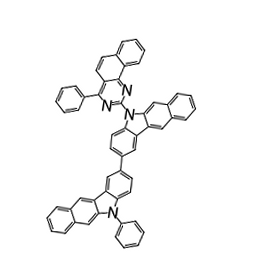 c1ccc(-c2nc(-n3c4ccc(-c5ccc6c(c5)c5cc7ccccc7cc5n6-c5ccccc5)cc4c4cc5ccccc5cc43)nc3c2ccc2ccccc23)cc1